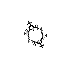 CC(C)(C)c1cc2nc(c1)C(=O)NCCCNC(=O)c1cc(C(C)(C)C)cc(n1)C(=O)NCCCNC2=O